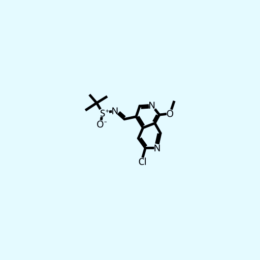 COc1ncc(/C=N/[S+]([O-])C(C)(C)C)c2cc(Cl)ncc12